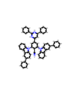 N#Cc1c(-n2c3ccccc3c3cc(-c4ccccc4)ccc32)cc(-c2cc(-c3ccccc3)nc(-c3ccccc3)n2)cc1-n1c2ccccc2c2cc(-c3ccccc3)ccc21